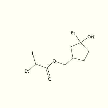 CCC(I)C(=O)OCC1CCC(O)(CC)C1